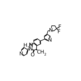 C=C(C(=O)Nc1ccncc1)c1cc(-c2cncc(CN3CCC(F)(F)C3)c2)ccc1N